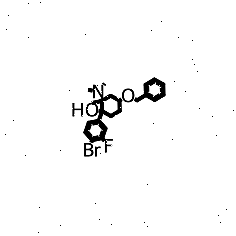 CN(C)C1(C)CC(OCc2ccccc2)CCC1(O)c1ccc(Br)c(F)c1